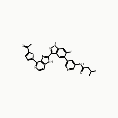 CC(=O)c1ccc(-c2nccc3[nH]c(-c4n[nH]c5cc(F)c(-c6cncc(NC(=O)CC(C)C)c6)cc45)nc23)s1